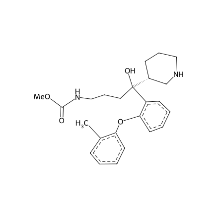 COC(=O)NCCCC(O)(c1ccccc1Oc1ccccc1C)[C@@H]1CCCNC1